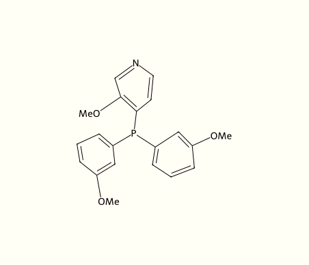 COc1cccc(P(c2cccc(OC)c2)c2ccncc2OC)c1